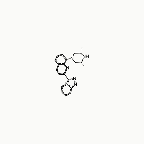 C[C@@H]1CN(c2cccc3ccc(-c4nnc5ccccn45)nc23)C[C@H](C)N1